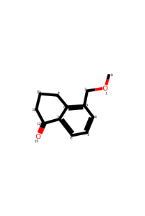 COCc1cccc2c1CCCC2=O